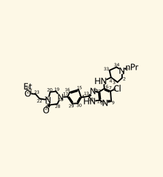 CCCN1CCC(Nc2c(Cl)cnc3[nH]c(-c4ccc(N5CCN(CCOCC)C(=O)C5)cc4)nc23)CC1